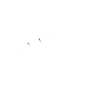 CC(C)(C)OC(=O)N[C@]1(C)CCCC(F)(F)[C@H]1O